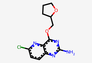 Nc1nc(OCC2CCCO2)c2nc(Cl)ccc2n1